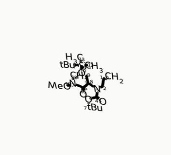 C=CCN(C(=O)OC(C)(C)C)C(CO[Si](C)(C)C(C)(C)C)C(=O)N(C)OC